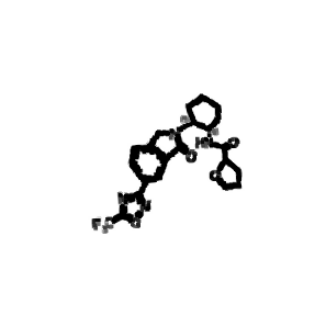 O=C(N[C@H]1CCCC[C@@H]1N1Cc2ccc(-c3noc(C(F)(F)F)n3)cc2C1=O)C1CCCO1